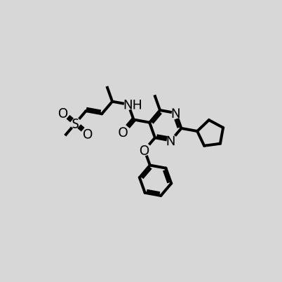 Cc1nc(C2CCCC2)nc(Oc2ccccc2)c1C(=O)NC(C)C=CS(C)(=O)=O